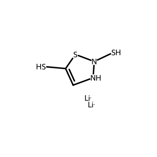 SC1=CNN(S)S1.[Li].[Li]